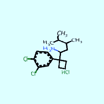 CC(C)C(C)CC(N)C1(c2ccc(Cl)c(Cl)c2)CCC1.Cl